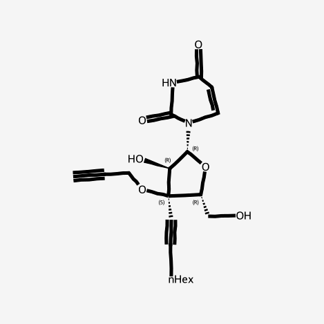 C#CCO[C@]1(C#CCCCCCC)[C@@H](CO)O[C@@H](n2ccc(=O)[nH]c2=O)[C@@H]1O